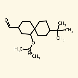 C[SiH](C)OC1CC(C=O)CCC12CCC(C(C)(C)C)CC2